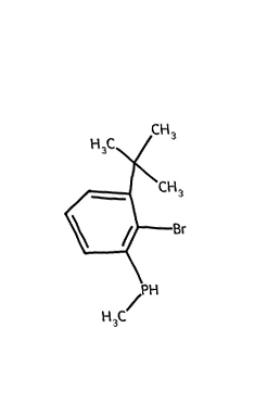 CPc1cccc(C(C)(C)C)c1Br